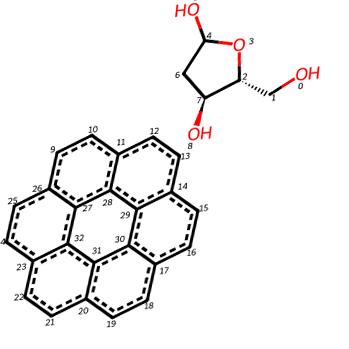 OC[C@H]1OC(O)C[C@@H]1O.c1cc2ccc3ccc4ccc5ccc6ccc1c1c2c3c4c5c61